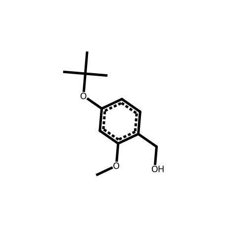 COc1cc(OC(C)(C)C)ccc1CO